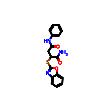 NC(=O)C(CC(=O)Nc1ccccc1)Sc1nc2ccccc2o1